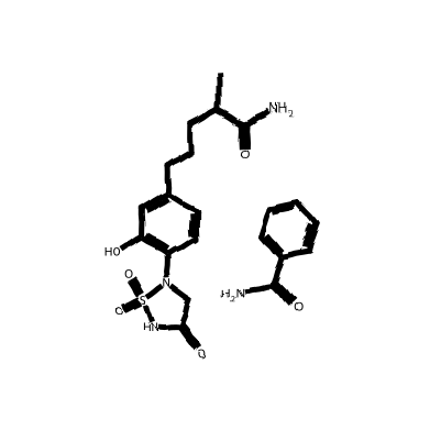 CC(CCCc1ccc(N2CC(=O)NS2(=O)=O)c(O)c1)C(N)=O.NC(=O)c1ccccc1